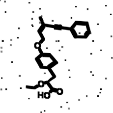 CCO[C@@H](Cc1ccc(OC/C=C(/C)C#Cc2ccccc2)cc1)C(=O)O